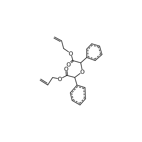 C=CCOC(=O)C(OC(C(=O)OCC=C)c1ccccc1)c1ccccc1